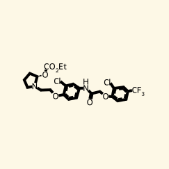 CCOC(=O)O[C@H]1CCCN1CCOc1ccc(NC(=O)COc2ccc(C(F)(F)F)cc2Cl)cc1Cl